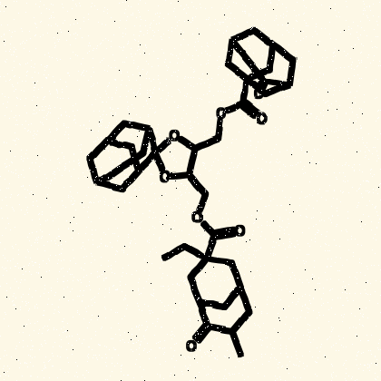 CCC1(C(=O)OCC2OC3(OC2COC(=O)C24CC5CC(C2)C(=O)C(C5)C4)C2CC4CC(C2)CC3C4)CC2CC(C)C(=O)C(C2)C1